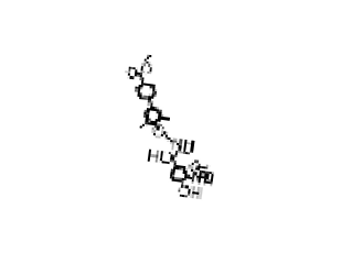 CCOC(=O)c1ccc(-c2cc(C)c(OCCN[C@@H](C)[C@@H](O)c3ccc(O)c(NS(C)(=O)=O)c3)c(C)c2)cc1